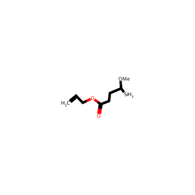 C=CCOC(=O)CCC([SiH3])OC